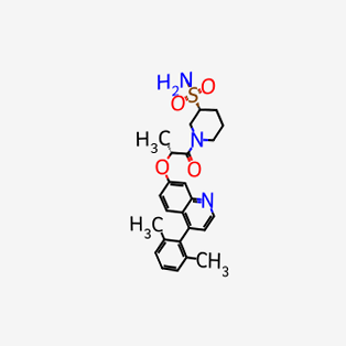 Cc1cccc(C)c1-c1ccnc2cc(O[C@H](C)C(=O)N3CCC[C@H](S(N)(=O)=O)C3)ccc12